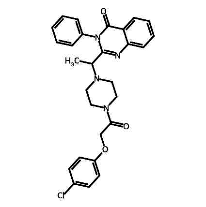 CC(c1nc2ccccc2c(=O)n1-c1ccccc1)N1CCN(C(=O)COc2ccc(Cl)cc2)CC1